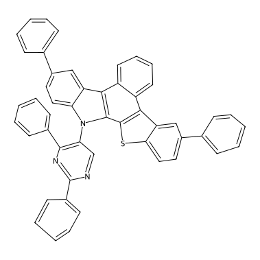 c1ccc(-c2ccc3sc4c(c3c2)c2ccccc2c2c3cc(-c5ccccc5)ccc3n(-c3cnc(-c5ccccc5)nc3-c3ccccc3)c42)cc1